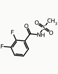 CS(=O)(=O)NC(=O)c1cccc(F)c1F